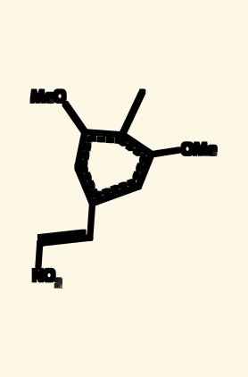 COc1cc(C=C[N+](=O)[O-])cc(OC)c1C